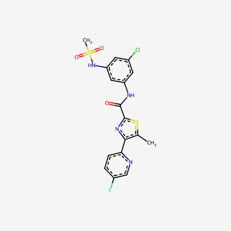 Cc1sc(C(=O)Nc2cc(Cl)cc(NS(C)(=O)=O)c2)nc1-c1ccc(F)cn1